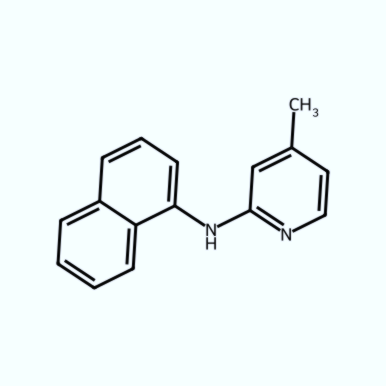 Cc1ccnc(Nc2cccc3ccccc23)c1